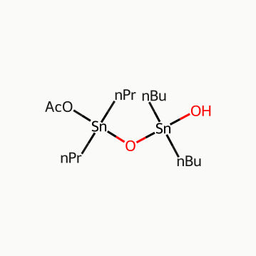 CCC[CH2][Sn]([OH])([CH2]CCC)[O][Sn]([CH2]CC)([CH2]CC)[O]C(C)=O